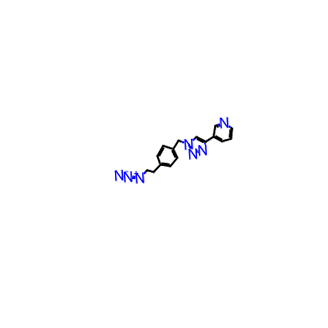 [N-]=[N+]=NCCc1ccc(Cn2cc(-c3cccnc3)nn2)cc1